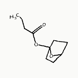 CCC(=O)OC12CCC(CC1)O2